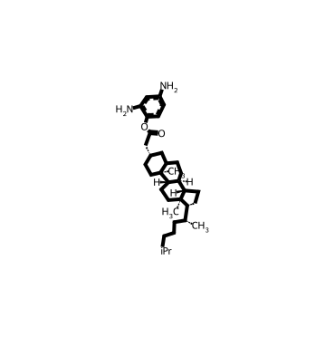 CC(C)CCC[C@@H](C)[C@H]1CC[C@H]2[C@@H]3CCC4C[C@@H](CC(=O)Oc5ccc(N)cc5N)CC[C@]4(C)[C@H]3CC[C@]12C